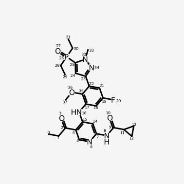 CCC(=O)c1cnc(NC(=O)C2CC2)cc1Nc1cc(F)cc(-c2cc(P(=O)(CC)CC)n(C)n2)c1OC